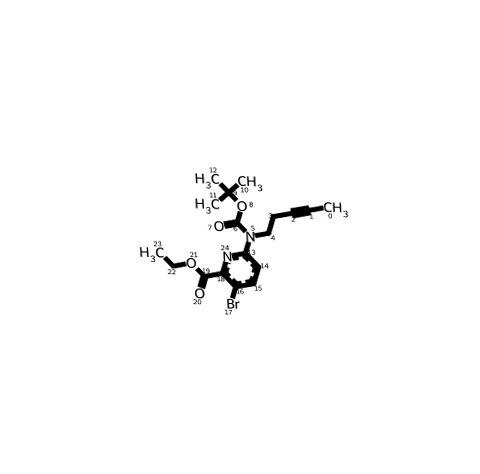 CC#CCCN(C(=O)OC(C)(C)C)c1ccc(Br)c(C(=O)OCC)n1